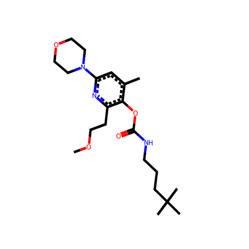 COCCc1nc(N2CCOCC2)cc(C)c1OC(=O)NCCCC(C)(C)C